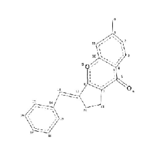 Cc1ccc2c(=O)c3c(oc2c1)/C(=C/c1ccccc1)CC3